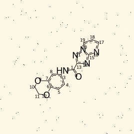 O=C(Nc1ccc2c(c1)OCCO2)c1nc2ncccn2n1